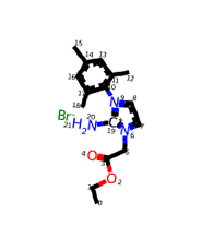 CCOC(=O)Cn1ccn(-c2c(C)cc(C)cc2C)[c+]1N.[Br-]